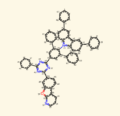 c1ccc(-c2ccc3c(c2)c2cc(-c4ccccc4)ccc2n3-c2c(-c3ccccc3)cc(-c3nc(-c4ccccc4)nc(-c4ccc5c(c4)oc4ncccc45)n3)cc2-c2ccccc2)cc1